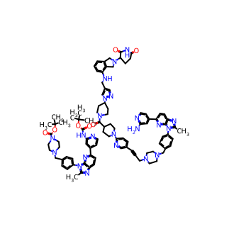 Cc1nc2ccc(-c3ccnc(N)c3)nc2n1-c1ccc(CN2CCN(CC#Cc3ccc(N4CCC(C(=O)N5CCC(n6cc(CNc7cccc8c7CN(C7CCC(=O)NC7=O)C8)cn6)CC5)CC4)nc3)CC2)cc1.Cc1nc2ccc(-c3ccnc(NC(=O)OC(C)(C)C)c3)nc2n1-c1ccc(CN2CCN(C(=O)OC(C)(C)C)CC2)cc1